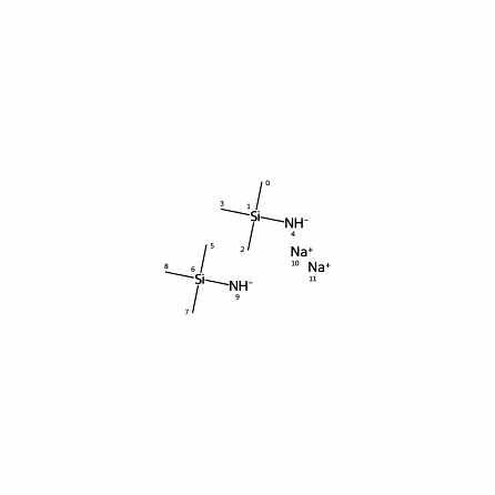 C[Si](C)(C)[NH-].C[Si](C)(C)[NH-].[Na+].[Na+]